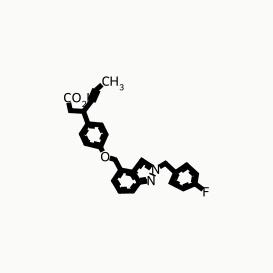 CC#CC(CC(=O)O)c1ccc(OCc2cccc3nn(Cc4ccc(F)cc4)cc23)cc1